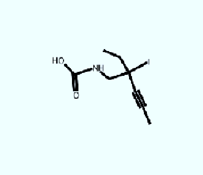 CC#CC(I)(CC)CNC(=O)O